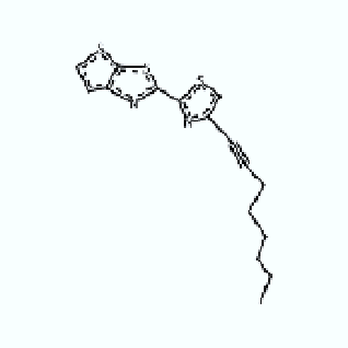 CCCCCCC#Cc1csc(-c2nc3ccsc3s2)n1